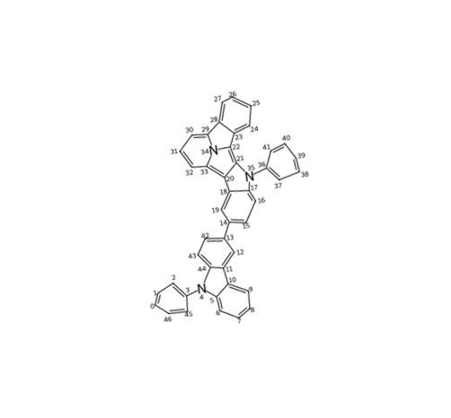 c1ccc(-n2c3ccccc3c3cc(-c4ccc5c(c4)c4c(c6c7ccccc7c7cccc4n76)n5-c4ccccc4)ccc32)cc1